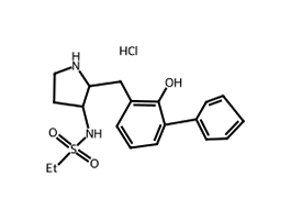 CCS(=O)(=O)NC1CCNC1Cc1cccc(-c2ccccc2)c1O.Cl